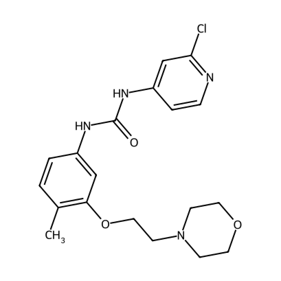 Cc1ccc(NC(=O)Nc2ccnc(Cl)c2)cc1OCCN1CCOCC1